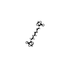 O=C1OCO[C@H]1CCSCCSCC[C@@H]1OCOC1=O